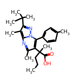 CCCC(C)(C(=O)O)c1c(C)nc2c(C)c(C(C)(C)C)nn2c1-c1ccc(C)cc1